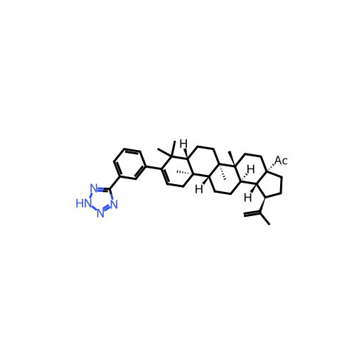 C=C(C)[C@@H]1CC[C@]2(C(C)=O)CC[C@]3(C)[C@H](CC[C@@H]4[C@@]5(C)CC=C(c6cccc(-c7nn[nH]n7)c6)C(C)(C)[C@@H]5CC[C@]43C)[C@@H]12